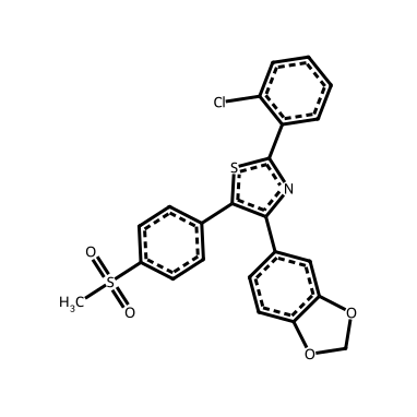 CS(=O)(=O)c1ccc(-c2sc(-c3ccccc3Cl)nc2-c2ccc3c(c2)OCO3)cc1